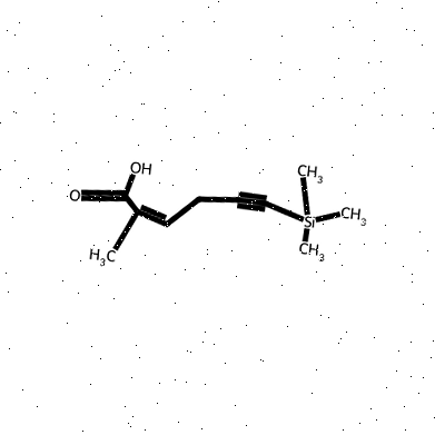 CC(=CCC#C[Si](C)(C)C)C(=O)O